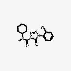 CN(C(=O)n1nnn(-c2ccccc2Cl)c1=O)C1CCCCC1